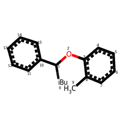 CCC(C)C(Oc1ccccc1C)c1ccccc1